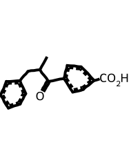 CC(Cc1ccccc1)C(=O)c1ccc(C(=O)O)cc1